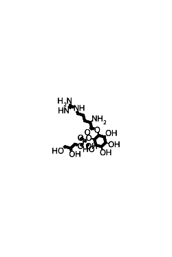 N=C(N)NCCC[C@H](N)C(=O)O[C@H]1[C@@H](O)[C@H](O)[C@@H](O)[C@H](O)[C@H]1OP(=O)(O)OCC(O)CO